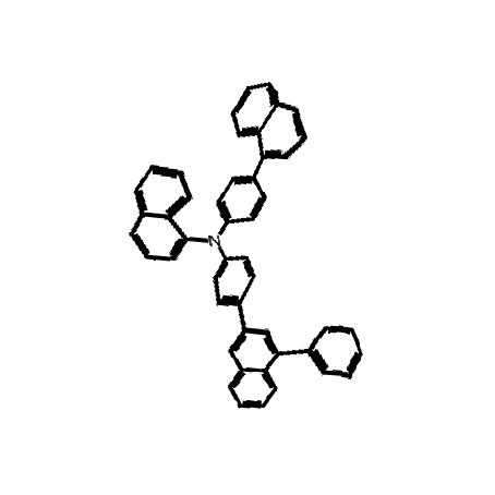 c1ccc(-c2cc(-c3ccc(N(c4ccc(-c5cccc6ccccc56)cc4)c4cccc5ccccc45)cc3)cc3ccccc23)cc1